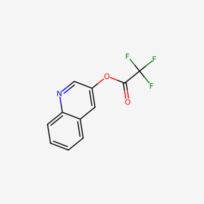 O=C(Oc1cnc2ccccc2c1)C(F)(F)F